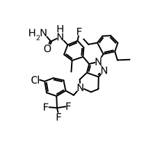 CCc1cccc(CC)c1-n1nc2c(c1-c1cc(F)c(NC(N)=O)cc1C)CN(Cc1ccc(Cl)cc1C(F)(F)F)CC2